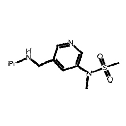 CC(C)NCc1cncc(N(C)S(C)(=O)=O)c1